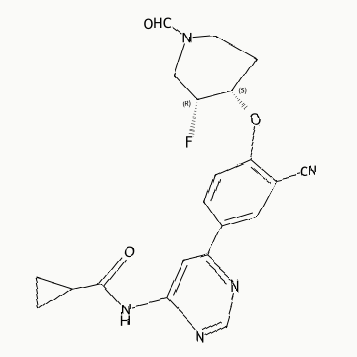 N#Cc1cc(-c2cc(NC(=O)C3CC3)ncn2)ccc1O[C@H]1CCN(C=O)C[C@H]1F